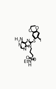 CCNS(=O)(=O)CCCn1c(Sc2cc3c(cc2I)OCCO3)nc2c(N)ncnc21